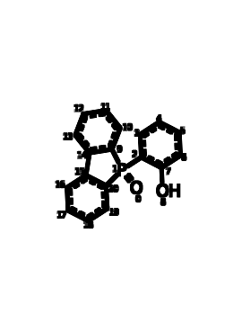 O=P1(c2ccccc2O)c2ccccc2-c2ccccc21